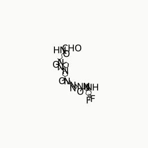 CC(CCC(=O)NC=O)n1c(=O)n(C)c2c(N3CCC(C(=O)N4CC(n5cc(NC(=O)c6n[nH]c7c6CC6C(F)(F)C6(C)C7)cn5)C4)CC3)cccc21